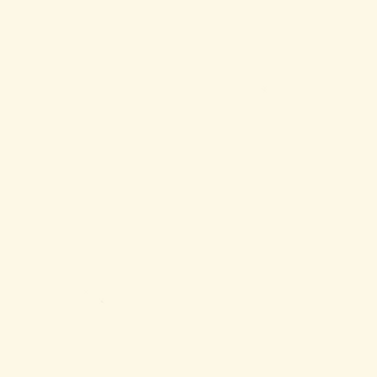 CCCC=CC=CC=CCCCCCCC(=O)O